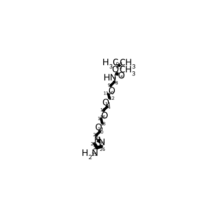 CC(C)(C)OC(=O)NCCOCCOCCOCCOCCn1cc(N)cn1